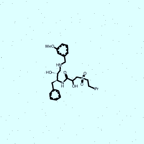 COc1cccc(CNC[C@@H](O)[C@H](Cc2ccccc2)NC(=O)C(O)CS(=O)(=O)CCC(C)C)c1